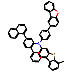 Cc1cccc2c1sc1cc(N(c3ccc(-c4ccc5oc6ccccc6c5c4)cc3)c3cc(-c4cccc5ccccc45)ccc3-c3ccccc3)ccc12